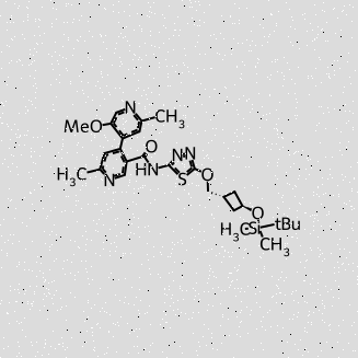 COc1cnc(C)cc1-c1cc(C)ncc1C(=O)Nc1nnc(OC[C@H]2C[C@H](O[Si](C)(C)C(C)(C)C)C2)s1